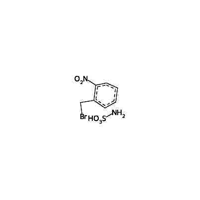 NS(=O)(=O)O.O=[N+]([O-])c1ccccc1CBr